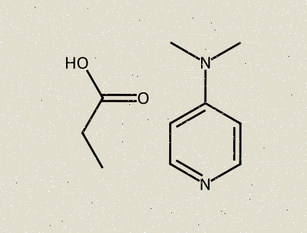 CCC(=O)O.CN(C)c1ccncc1